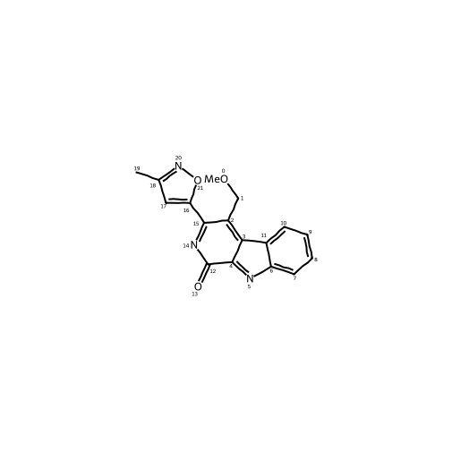 COCC1=C2C(=Nc3ccccc32)C(=O)N=C1c1cc(C)no1